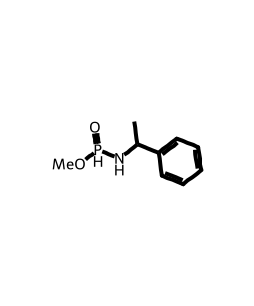 CO[PH](=O)NC(C)c1ccccc1